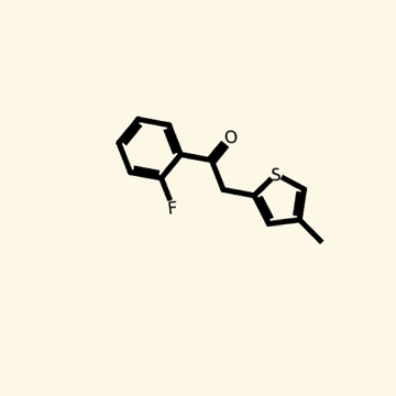 Cc1csc(CC(=O)c2ccccc2F)c1